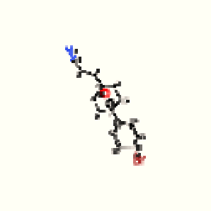 N#CCCC12CCC(c3ccc(Br)cc3)(CC1)CO2